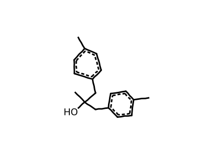 Cc1ccc(CC(C)(O)Cc2ccc(C)cc2)cc1